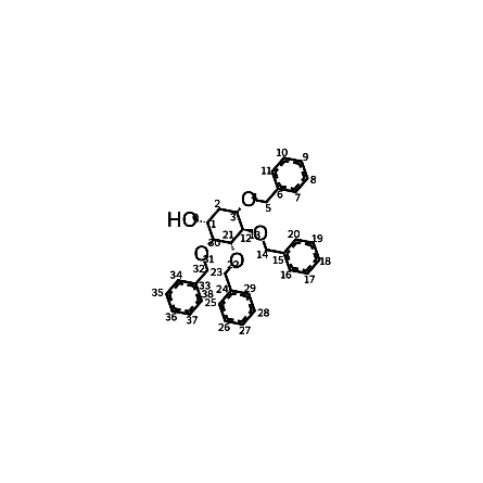 O[C@@H]1C[C@H](OCc2ccccc2)[C@@H](OCc2ccccc2)[C@H](OCc2ccccc2)[C@H]1OCc1ccccc1